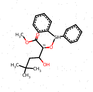 COC(=O)[C@@H](O[SiH](c1ccccc1)c1ccccc1)C(O)CC(C)(C)C